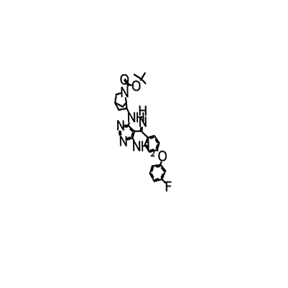 CC(C)(C)OC(=O)N1CC2CC(Nc3ncnc(N)c3C(=N)c3ccc(Oc4cccc(F)c4)cc3)C1C2